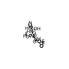 O=C(NCC(=O)N1C[C@H](OC(F)F)C[C@H]1C(=O)N[C@@H](CO)c1cc2cnccc2[nH]1)c1ccc2c(c1)-c1ccccc1C2(F)F